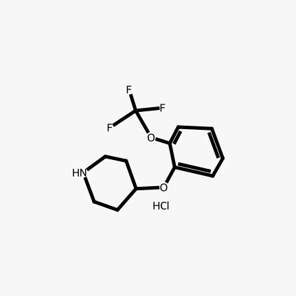 Cl.FC(F)(F)Oc1ccccc1OC1CCNCC1